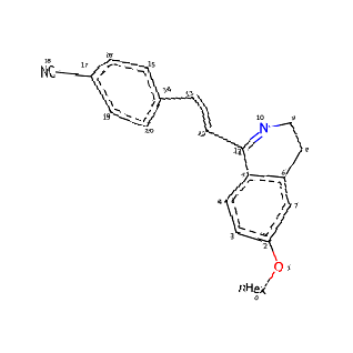 CCCCCCOc1ccc2c(c1)CCN=C2/C=C/c1ccc(C#N)cc1